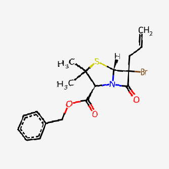 C=CCC1(Br)C(=O)N2[C@@H](C(=O)OCc3ccccc3)C(C)(C)S[C@@H]21